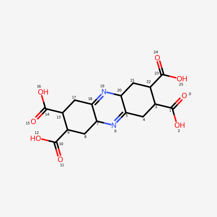 O=C(O)C1CC2=NC3CC(C(=O)O)C(C(=O)O)CC3=NC2CC1C(=O)O